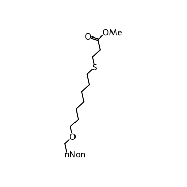 CCCCCCCCCCOCCCCCCCSCCC(=O)OC